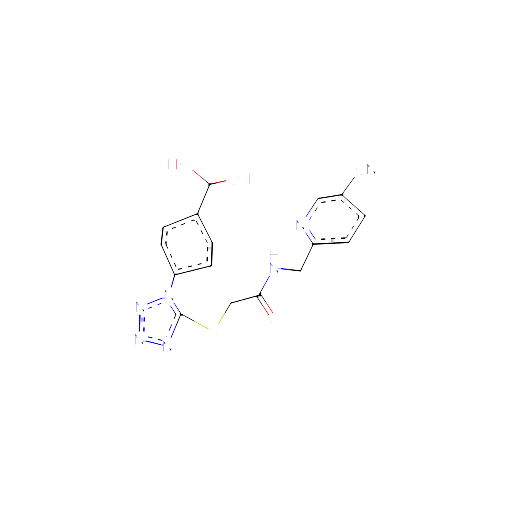 N#Cc1ccc(CNC(=O)CSc2nnnn2-c2ccc(C(O)O)cc2)nc1